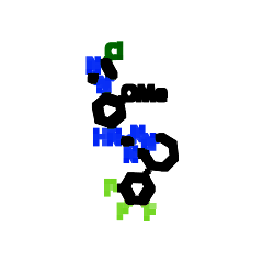 COc1cc(Nc2nc3n(n2)CCCC[C@@H]3c2cc(F)c(F)c(F)c2)ccc1-n1cnc(Cl)c1